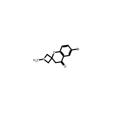 CN1CC2(CC(=O)c3cc(Br)ccc3O2)C1